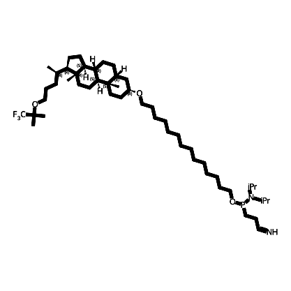 CC(C)N(C(C)C)P(CCC=N)OCCCCCCCCCCCCCCO[C@@H]1CC[C@@]2(C)[C@H](CC[C@@H]3[C@@H]2CC[C@]2(C)[C@@H]([C@H](C)CCCOC(C)(C)C(F)(F)F)CC[C@@H]32)C1